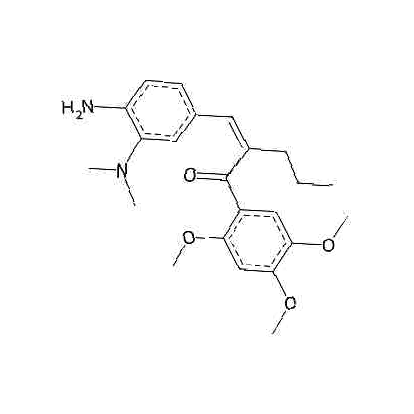 CCCC(=Cc1ccc(N)c(N(C)C)c1)C(=O)c1cc(OC)c(OC)cc1OC